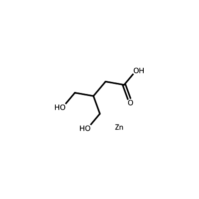 O=C(O)CC(CO)CO.[Zn]